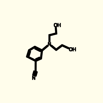 N#Cc1cccc(N(CCO)CCO)c1